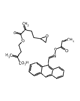 C=C(CCOC(=O)C(=C)CCC1CO1)C(=O)O.C=CC(=O)ON=Cc1c2ccccc2cc2ccccc12